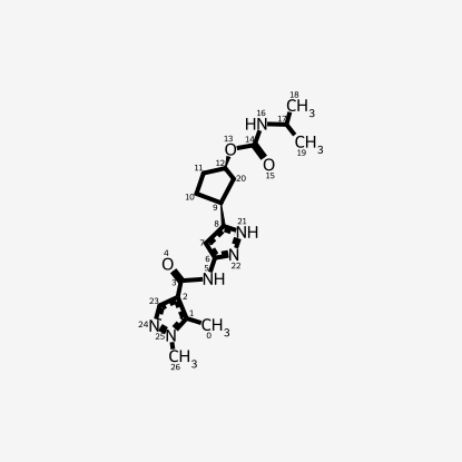 Cc1c(C(=O)Nc2cc([C@H]3CC[C@@H](OC(=O)NC(C)C)C3)[nH]n2)cnn1C